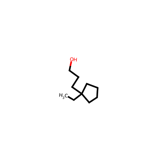 CCC1(CCCO)CCCC1